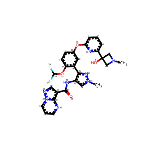 CN1CC(O)(c2cccc(Oc3ccc(OC(F)F)c(-c4nn(C)cc4NC(=O)c4cnn5cccnc45)c3)n2)C1